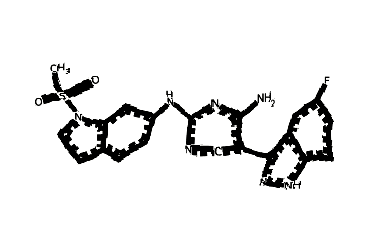 CS(=O)(=O)n1ccc2ccc(Nc3ncc(-c4n[nH]c5ccc(F)cc45)c(N)n3)cc21